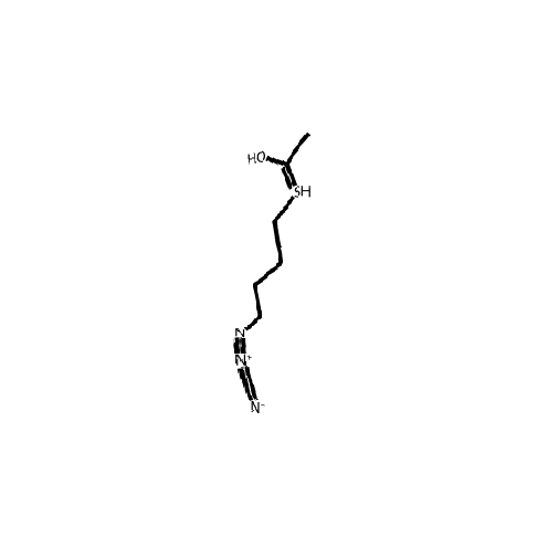 CC(O)=[SH]CCCCN=[N+]=[N-]